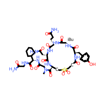 CC[C@H](C)[C@@H]1NC(=O)[C@@H](Cc2ccc(O)cc2)NC(=O)CCS(=O)(=O)CC[C@@H](C(=O)N(C)CC(=O)N[C@H](C(=O)NCC(N)=O)C2CCCCC2)NC(=O)[C@H](CC(N)=O)NC(=O)[C@H](CCC(N)=O)NC1=O